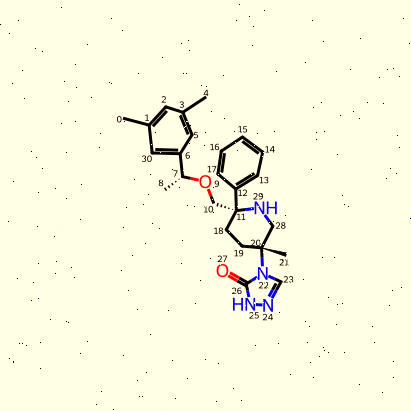 Cc1cc(C)cc([C@@H](C)OC[C@@]2(c3ccccc3)CC[C@@](C)(n3cn[nH]c3=O)CN2)c1